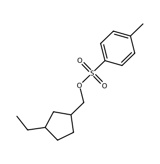 CCC1CCC(COS(=O)(=O)c2ccc(C)cc2)C1